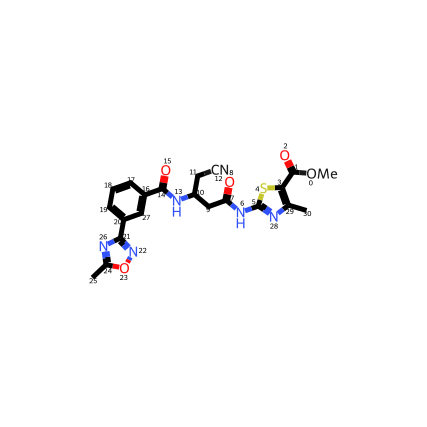 COC(=O)c1sc(NC(=O)CC(CC#N)NC(=O)c2cccc(-c3noc(C)n3)c2)nc1C